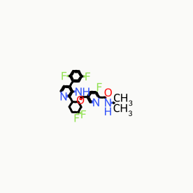 CC(C)NC(=O)c1ncc(C(=O)Nc2c(-c3cc(F)ccc3F)ccnc2C2CCC(F)(F)CC2)cc1F